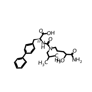 CC(C)CN(CCCC(O)C(N)=O)C(=O)N[C@@H](Cc1ccc(-c2ccccc2)cc1)C(=O)O